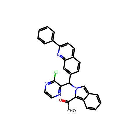 O=CC(=O)c1c2ccccc2cn1C(c1ccc2ccc(-c3ccccc3)nc2c1)c1nccnc1Cl